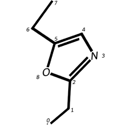 [CH2]Cc1ncc(CC)o1